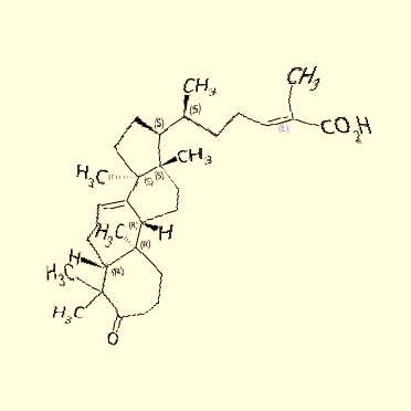 C/C(=C\CC[C@H](C)[C@@H]1CC[C@]2(C)C3=CC[C@H]4C(C)(C)C(=O)CC[C@]4(C)[C@H]3CC[C@@]12C)C(=O)O